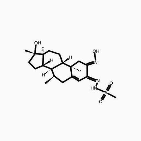 C[C@@H]1CC2=CC(=NNS(C)(=O)=O)C(=NO)C[C@]2(C)[C@H]2CC[C@@]3(C)[C@@H](CC[C@]3(C)O)[C@H]12